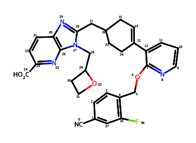 N#Cc1ccc(COc2ncccc2C2=CCC(Cc3nc4ccc(C(=O)O)nc4n3CC3CCO3)CC2)c(F)c1